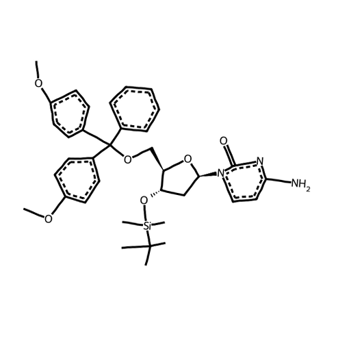 COc1ccc(C(OC[C@H]2O[C@@H](n3ccc(N)nc3=O)C[C@@H]2O[Si](C)(C)C(C)(C)C)(c2ccccc2)c2ccc(OC)cc2)cc1